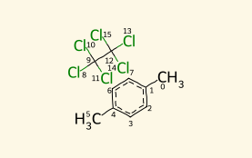 Cc1ccc(C)cc1.ClC(Cl)(Cl)C(Cl)(Cl)Cl